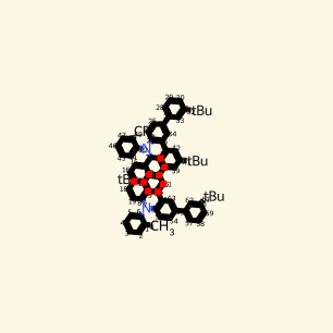 Cc1ccccc1N(C1=C2C=CC3=C4C(=CC=C(C=C1)C24)C(N(c1ccc(-c2cccc(C(C)(C)C)c2)cc1-c1cccc(C(C)(C)C)c1)c1ccccc1C(F)(F)F)C=C3)c1ccc(-c2cccc(C(C)(C)C)c2)cc1-c1cccc(C(C)(C)C)c1